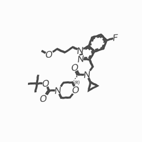 COCCCn1nc(CN(C(=O)[C@H]2CN(C(=O)OC(C)(C)C)CCO2)C2CC2)c2cc(F)ccc21